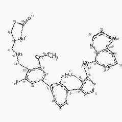 COc1cc(-c2cccc(-c3cccc(Nc4nccc5nccnc45)c3C)c2F)cc(F)c1CNCC1CCC(=O)N1